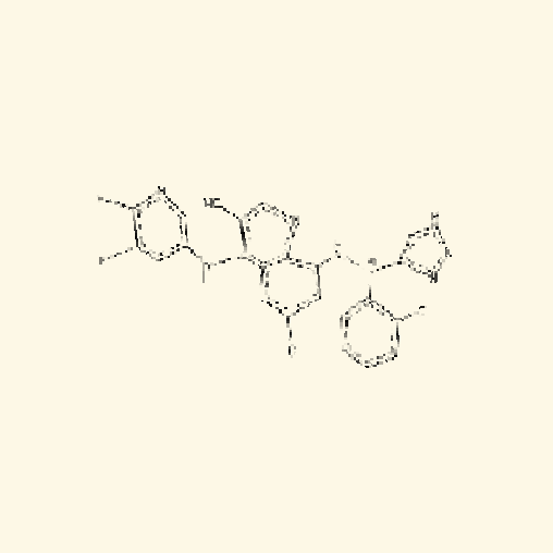 N#Cc1cnc2c(N[C@H](c3c[nH]nn3)c3ccccc3Cl)cc(Cl)cc2c1Nc1cnc(F)c(F)c1